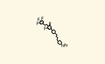 CCCC1CCC(CCCCC2CCC(c3cc(F)c(CCc4cc(F)c(F)c(F)c4)c(F)c3)CC2)CC1